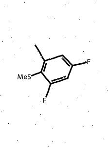 CSc1c(C)cc(F)cc1F